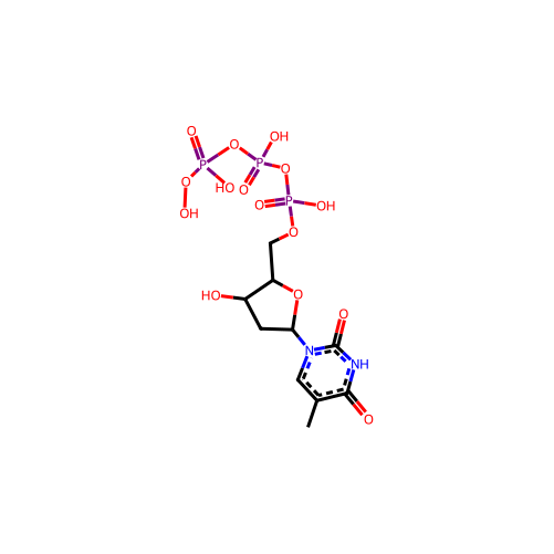 Cc1cn(C2CC(O)C(COP(=O)(O)OP(=O)(O)OP(=O)(O)OO)O2)c(=O)[nH]c1=O